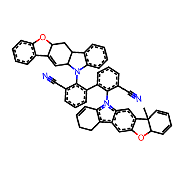 CC12C=CC=CC1Oc1cc3c4c(n(-c5c(C#N)cccc5-c5cccc(C#N)c5N5c6ccccc6C6CC7Oc8ccccc8C7=CC65)c3cc12)C=CCC4